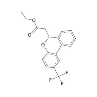 CCOC(=O)CC1Oc2ccc(C(F)(F)F)cc2-c2ccccc21